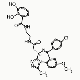 COc1ccc2c(c1)C(c1ccc(Cl)cc1)=N[C@@H](CC(=O)NCCNC(=O)c1cccc(O)c1O)c1nnc(C)n1-2